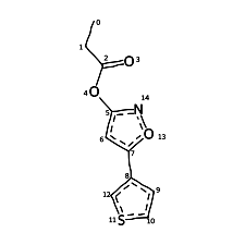 CCC(=O)Oc1cc(-c2ccsc2)on1